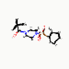 CC(C)(C)C(=O)N1CCN(S(=O)(=O)C2CCCCC2)CC1